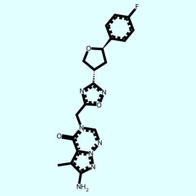 Cc1c(N)nn2ncn(Cc3nc([C@@H]4CO[C@@H](c5ccc(F)cc5)C4)no3)c(=O)c12